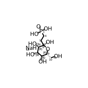 O=P(O)(O)CC[C@@]1(O)O[C@H](CO)[C@@H](O)[C@H](O)[C@H]1O.[NaH]